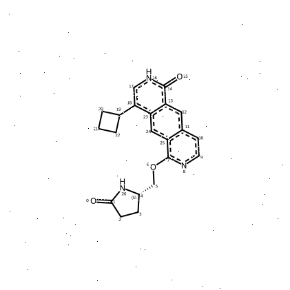 O=C1CC[C@@H](COc2nccc3cc4c(=O)[nH]cc(C5CCC5)c4cc23)N1